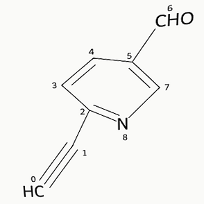 C#Cc1ccc(C=O)cn1